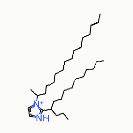 CCCCCCCCCCCCCCC(C)[n+]1cc[nH]c1C(CCC)CCCCCCCCCC